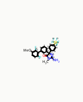 COc1ccc(F)c(-c2cccc(C3(c4ccc(S(F)(F)(F)(F)F)cc4)N=C(N)N(C)C3=O)c2)c1F